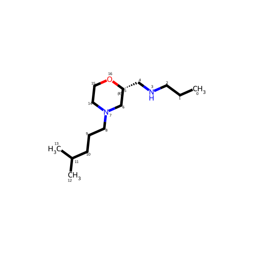 CCCNC[C@@H]1CN(CCCC(C)C)CCO1